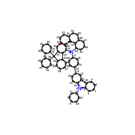 c1ccc(-n2c3ccccc3c3cc(-c4ccc(N(c5cccc6c5-c5ccccc5C6(c5ccccc5)c5ccccc5)c5cccc6ccc7ccccc7c56)cc4)ccc32)cc1